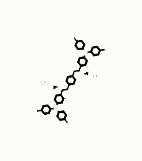 CSC(=S)OC(Cc1ccc(CC(OC(=S)SC)c2ccc(N(c3ccc(C)cc3)c3ccc(C)cc3)cc2)cc1)c1ccc(N(c2ccc(C)cc2)c2ccc(C)cc2)cc1